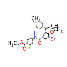 CCOC(=O)c1ccc(NC(=O)c2cc(Br)c3c(c2)C(C2CCC(CC)CC2)=CC(C)(C)O3)cc1F